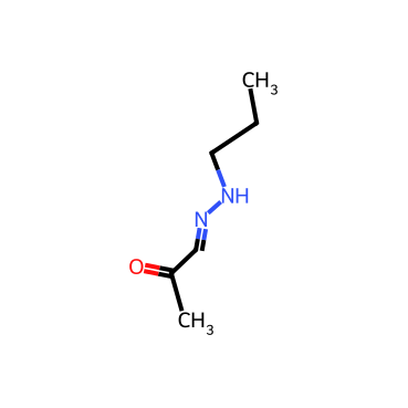 CCCNN=CC(C)=O